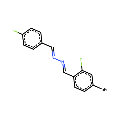 CCCc1ccc(C=NN=Cc2ccc(F)cc2)c(F)c1